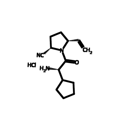 C=C[C@H]1CC[C@@H](C#N)N1C(=O)[C@@H](N)C1CCCC1.Cl